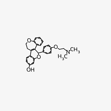 CN(C)CCOc1ccc(C2Oc3cc(O)ccc3C3=C2c2ccccc2OCC3)cc1